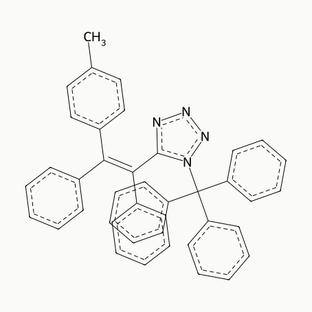 Cc1ccc(C(=C(c2ccccc2)c2nnnn2C(c2ccccc2)(c2ccccc2)c2ccccc2)c2ccccc2)cc1